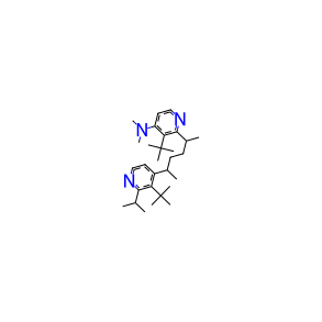 CC(C)c1nccc(C(C)CCC(C)c2nccc(N(C)C)c2C(C)(C)C)c1C(C)(C)C